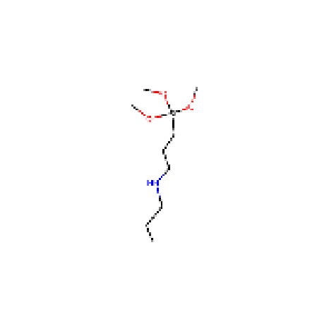 CCCNCCC[Si](OC)(OC)OC